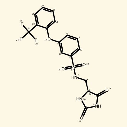 O=C1NC(=O)[C@H](CNS(=O)(=O)c2cccc(Oc3ccccc3C(F)(F)F)c2)N1